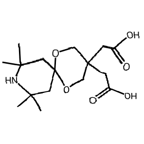 CC1(C)CC2(CC(C)(C)N1)OCC(CC(=O)O)(CC(=O)O)CO2